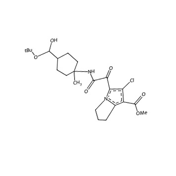 COC(=O)c1c(Cl)c(C(=O)C(=O)NC2(C)CCC(C(O)OC(C)(C)C)CC2)n2c1CCC2